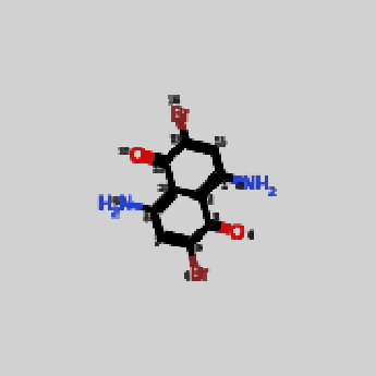 NC1=C2C(=O)C(Br)=CC(N)=C2C(=O)C(Br)=C1